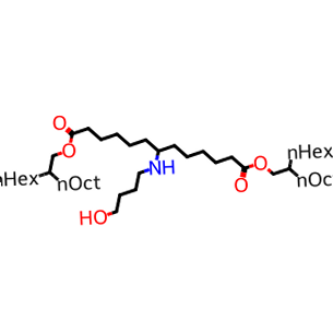 CCCCCCCCC(CCCCCC)COC(=O)CCCCCC(CCCCCC(=O)OCC(CCCCCC)CCCCCCCC)NCCCCO